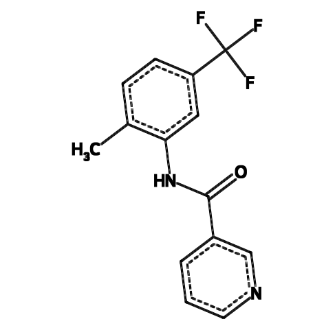 Cc1ccc(C(F)(F)F)cc1NC(=O)c1cccnc1